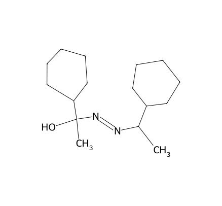 CC(N=NC(C)(O)C1CCCCC1)C1CCCCC1